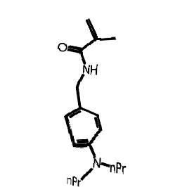 C=C(C)C(=O)NCc1ccc(N(CCC)CCC)cc1